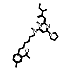 C=C(/C=C1/N=C(N2CCCC2)C=C(N(C)CCCCCCc2ccc(C)cc2C(C)=O)N1C)C(C)CC